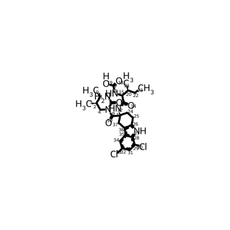 CC[C@H](C)CN(C(N)=O)C(=O)[C@@]1(NC(=O)C(NC(=O)O)[C@@H](C)CC)CCc2[nH]c3c(Cl)cc(Cl)cc3c2C1